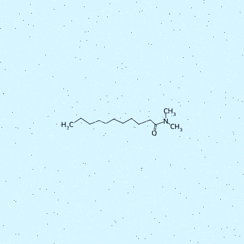 CCCCCCCCCCC(=O)N(C)C